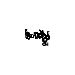 C#Cc1c(F)ccc2cc(O)cc(-c3cc4nc(OC[C@@]56CCCN5C[C@H](F)C6)ncc4c(N(C)C)n3)c12